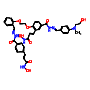 CN(CCO)c1ccc(/C=N/NC(=O)c2ccc(OCCOc3ccccc3/C=N/NC(=O)c3ccc(/C=C/C(=O)NO)cc3)c(/C=C/C(=O)NO)c2)cc1